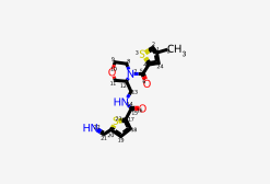 Cc1csc(C(=O)N2CCOCC2CNC(=O)c2ccc(C=N)s2)c1